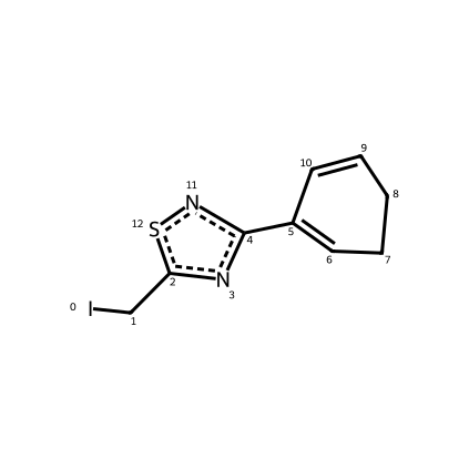 ICc1nc(C2=CCCC=C2)ns1